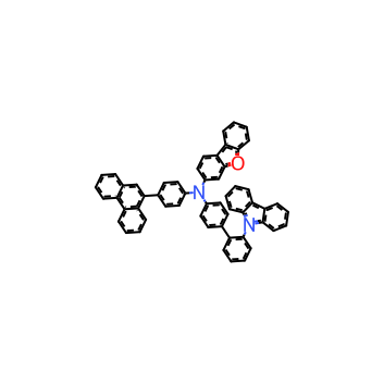 c1ccc(-n2c3ccccc3c3ccccc32)c(-c2ccc(N(c3ccc(-c4cc5ccccc5c5ccccc45)cc3)c3ccc4c(c3)oc3ccccc34)cc2)c1